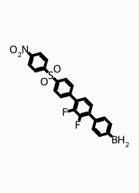 Bc1ccc(-c2ccc(-c3ccc(S(=O)(=O)c4ccc([N+](=O)[O-])cc4)cc3)c(F)c2F)cc1